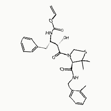 C=COC(=O)N[C@@H](Cc1ccccc1)[C@H](O)C(=O)N1CSC(C)(C)[C@H]1C(=O)NCc1ccccc1C